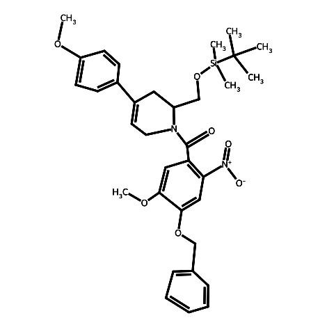 COc1ccc(C2=CCN(C(=O)c3cc(OC)c(OCc4ccccc4)cc3[N+](=O)[O-])C(CO[Si](C)(C)C(C)(C)C)C2)cc1